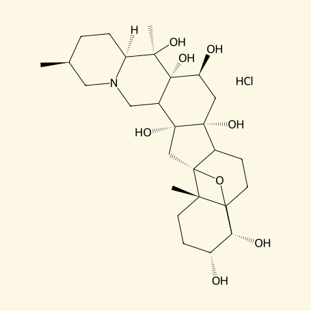 C[C@H]1CC[C@@H]2N(CC3[C@]4(O)C[C@@]56O[C@@]7(O)C(CCC5[C@]4(O)C[C@H](O)[C@]3(O)[C@]2(C)O)[C@]6(C)CC[C@H]7O)C1.Cl